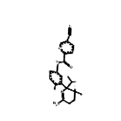 N#Cc1ccc(C(=O)Nc2ccc(F)c(C3(C(F)F)N=C(N)CCC3(F)F)c2)nc1